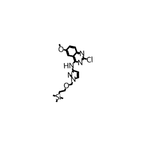 COc1ccc2nc(Cl)nc(Nc3ccn(COCC[Si](C)(C)C)n3)c2c1